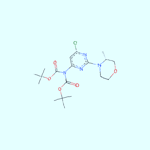 C[C@@H]1COCCN1c1nc(Cl)cc(N(C(=O)OC(C)(C)C)C(=O)OC(C)(C)C)n1